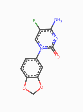 Nc1nc(=O)n(-c2ccc3c(c2)OCO3)cc1F